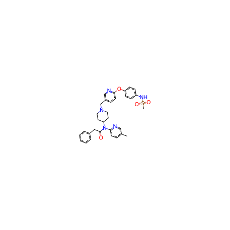 Cc1ccc(N(C(=O)Cc2ccccc2)C2CCN(Cc3ccc(Oc4ccc(NS(C)(=O)=O)cc4)nc3)CC2)nc1